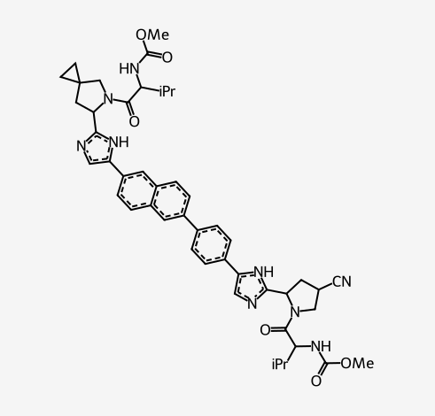 COC(=O)NC(C(=O)N1CC(C#N)CC1c1ncc(-c2ccc(-c3ccc4cc(-c5cnc(C6CC7(CC7)CN6C(=O)C(NC(=O)OC)C(C)C)[nH]5)ccc4c3)cc2)[nH]1)C(C)C